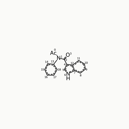 CC(=O)N(C(=O)c1c[nH]c2ccccc12)c1ccccc1